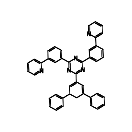 C1=C(c2ccccc2)CC(c2ccccc2)C=C1c1nc(-c2cccc(-c3ccccn3)c2)nc(-c2cccc(-c3ccccn3)c2)n1